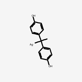 CC(C)(c1ccc(O)cc1)c1ccc(O)cc1.[Ag]